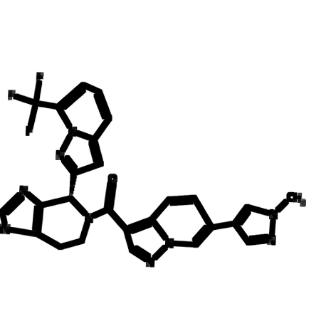 Cn1cc(-c2ccc3c(C(=O)N4CCc5[nH]cnc5[C@@H]4c4cc5cccc(C(F)(F)F)n5n4)cnn3c2)cn1